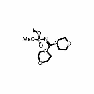 COP(=O)(N=C(N1CCOCC1)N1CCOCC1)OI